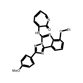 CCOc1cccc2c1nc(Nc1ccccnc1=O)n1nc(-c3ccc(OC)cc3)nc21